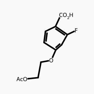 CC(=O)OCCOc1ccc(C(=O)O)c(F)c1